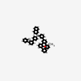 Cc1ccccc1-c1ccc(-c2cccc(N(c3ccc(-c4cccc5c4oc4ccccc45)cc3)c3ccc4ccccc4c3)c2)cc1-c1cccc2c1[nH]c1ccccc12